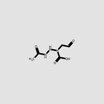 CC(=O)NNN(CC=O)C(=O)O